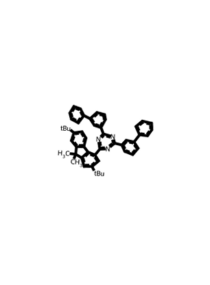 CC(C)(C)c1ccc2c(c1)C(C)(C)c1cc(C(C)(C)C)cc(-c3nc(-c4cccc(-c5ccccc5)c4)nc(-c4cccc(-c5ccccc5)c4)n3)c1-2